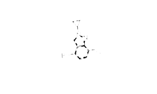 COc1ccc(Br)c2cn(C3CC3)nc12